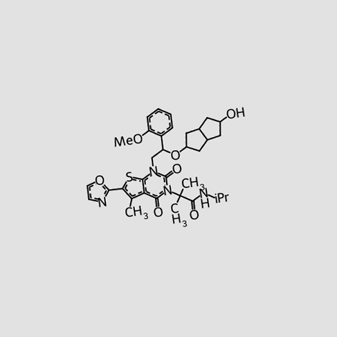 COc1ccccc1C(Cn1c(=O)n(C(C)(C)C(=O)NC(C)C)c(=O)c2c(C)c(-c3ncco3)sc21)OC1CC2CC(O)CC2C1